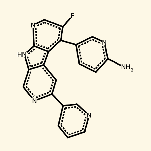 Nc1ccc(-c2c(F)cnc3[nH]c4cnc(-c5cccnc5)cc4c23)cn1